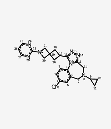 Clc1ccc2c(c1)CN(C1CC1)Cc1nnc(C3CC4(C3)CN(c3ncccn3)C4)n1-2